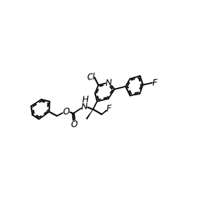 C[C@@](CF)(NC(=O)OCc1ccccc1)c1cc(Cl)nc(-c2ccc(F)cc2)c1